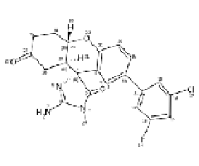 CN1C(=O)[C@]2(N=C1N)c1cc(-c3cc(F)cc(Cl)c3)ccc1O[C@H]1CCC(=O)C[C@@H]12